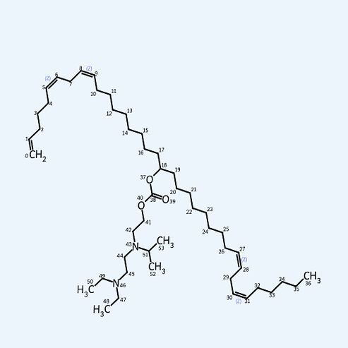 C=CCCC/C=C\C/C=C\CCCCCCCCC(CCCCCCCC/C=C\C/C=C\CCCCC)OC(=O)OCCN(CCN(CC)CC)C(C)C